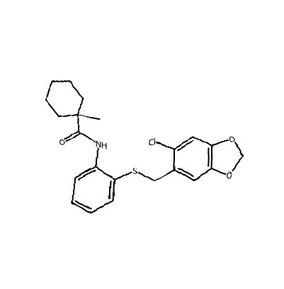 CC1(C(=O)Nc2ccccc2SCc2cc3c(cc2Cl)OCO3)CCCCC1